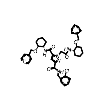 O=C(Cn1nc(C(=O)NCc2ccccc2Cl)cc1C(=O)N[C@H]1CCCC[C@@H]1OCc1ccccc1)N[C@H]1CCCC[C@@H]1OCc1ccccc1